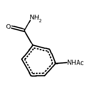 [CH2]C(=O)Nc1cccc(C(N)=O)c1